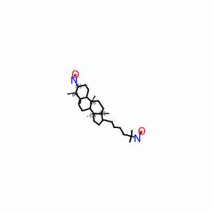 C[C@@H]1C2=CCC3[C@@](C)(CC[C@]4(C)C(CCCCC(C)(C)N=O)CC[C@@]34C)C2CC[C@@H]1N=O